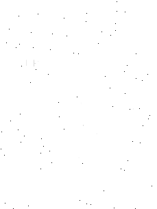 CC(C)(C)C1(C(C)(C)C)CCPCC1